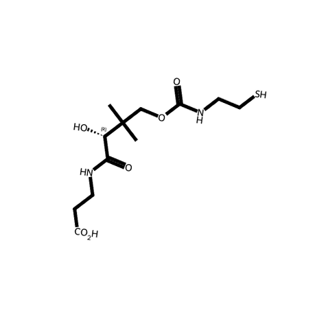 CC(C)(COC(=O)NCCS)[C@@H](O)C(=O)NCCC(=O)O